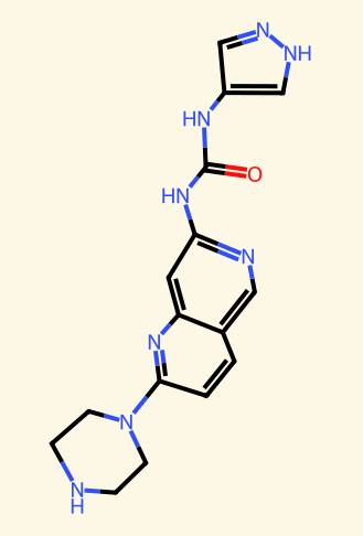 O=C(Nc1cn[nH]c1)Nc1cc2nc(N3CCNCC3)ccc2cn1